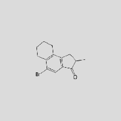 CC1Cc2c(cc(Br)c3c2CCCC3)C1=O